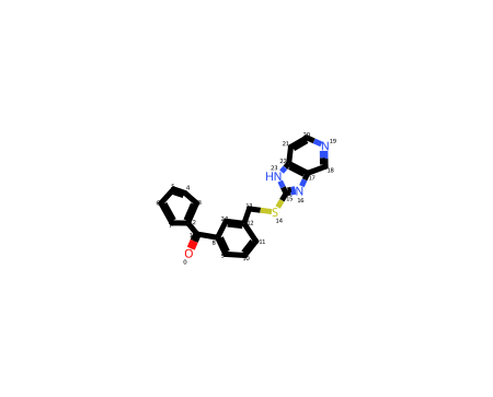 O=C(c1ccccc1)c1cccc(CSc2nc3cnccc3[nH]2)c1